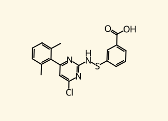 Cc1cccc(C)c1-c1cc(Cl)nc(NSc2cccc(C(=O)O)c2)n1